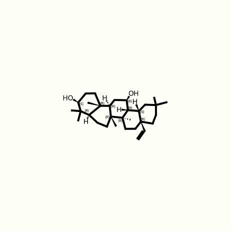 C=C[C@]12CCC(C)(C)C[C@H]1[C@H]1[C@H](O)C[C@@H]3[C@@]4(C)CC[C@H](O)C(C)(C)[C@@H]4CC[C@@]3(C)[C@]1(C)CC2